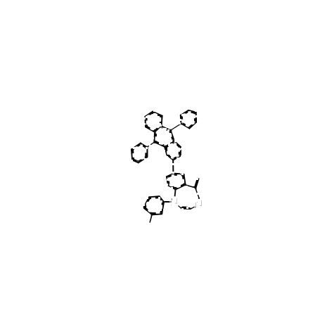 C=C1/C=N\C=C/N(c2cccc(C)c2)c2ccc(-c3ccc4c(-c5ccccc5)c5ccccc5c(-c5ccccc5)c4c3)cc21